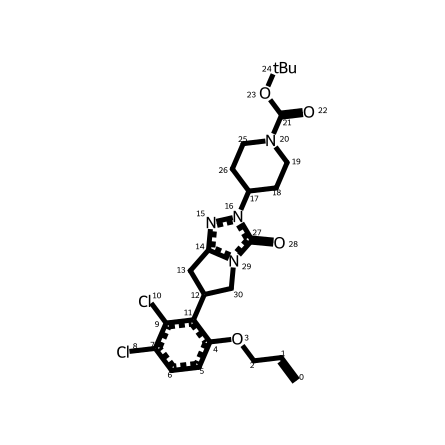 C=CCOc1ccc(Cl)c(Cl)c1C1Cc2nn(C3CCN(C(=O)OC(C)(C)C)CC3)c(=O)n2C1